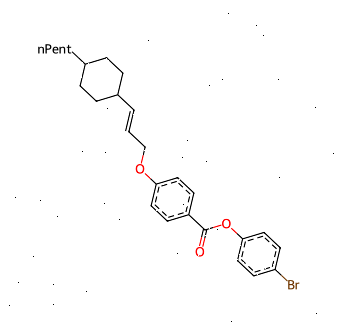 CCCCCC1CCC(C=CCOc2ccc(C(=O)Oc3ccc(Br)cc3)cc2)CC1